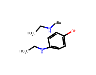 CC(C)(C)NCC(=O)O.O=C(O)CNc1ccc(O)cc1